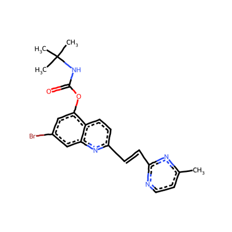 Cc1ccnc(/C=C/c2ccc3c(OC(=O)NC(C)(C)C)cc(Br)cc3n2)n1